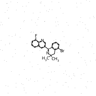 CC1(C)Cc2c(Br)cccc2C(c2cnc3c(F)cccc3c2)=N1